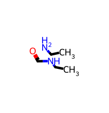 CCN.CCNC=O